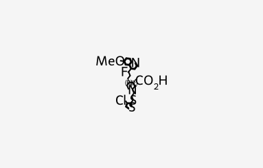 COc1ccc2nccc(C(F)CC[C@@H]3CCN(CCSc4sccc4Cl)C[C@@H]3CC(=O)O)c2c1